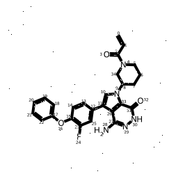 C=CC(=O)N1CCCC(n2cc(-c3ccc(Oc4ccccc4)c(F)c3)c3c(N)n[nH]c(=O)c32)C1